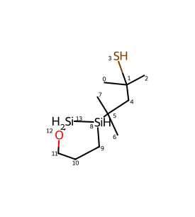 CC(C)(S)CC(C)(C)[SiH]1CCCO[SiH2]1